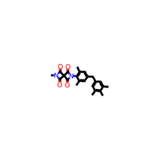 Cc1cc(Cc2cc(C)c(N3C(=O)C4(C(=O)N(C)C4=O)C3=O)c(C)c2)cc(C)c1C